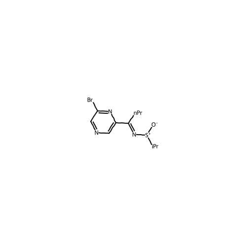 CCC/C(=N\[S+]([O-])C(C)C)c1cncc(Br)n1